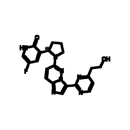 O=c1[nH]cc(F)cc1[C@H]1CCCN1c1ccc2ncc(-c3nccc(CCO)n3)n2n1